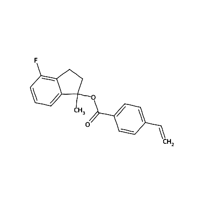 C=Cc1ccc(C(=O)OC2(C)CCc3c(F)cccc32)cc1